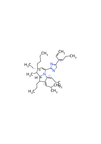 C=C/C(=C\CC)C1=NC(C2=C[C@](CC)(CCCC)C(C)[C@@H]3C(CCC)C(=C/C(C)C)/C(=C\CC)N23)=NC1